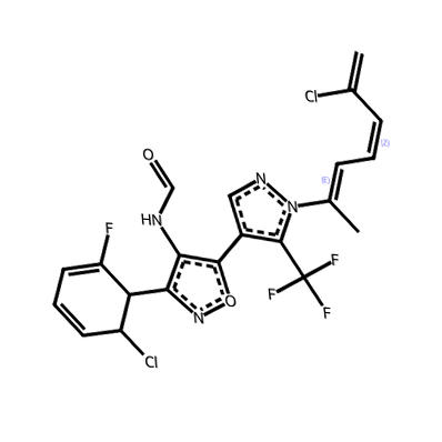 C=C(Cl)/C=C\C=C(/C)n1ncc(-c2onc(C3C(F)=CC=CC3Cl)c2NC=O)c1C(F)(F)F